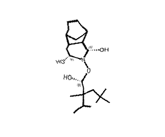 CC(C)C(C)(CC(C)(C)C)[C@H](O)ON1[C@H](O)C2C3CCC(C3)C2[C@@H]1O